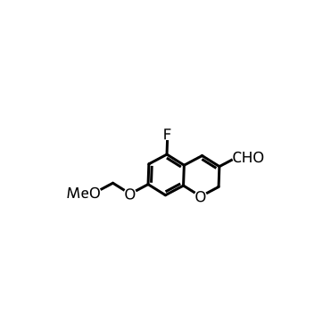 COCOc1cc(F)c2c(c1)OCC(C=O)=C2